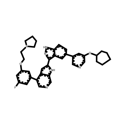 Fc1cc(OCCN2CCCC2)cc(-c2cncc3[nH]c(-c4n[nH]c5ccc(-c6cncc(OC7CCCCC7)c6)cc45)cc23)c1